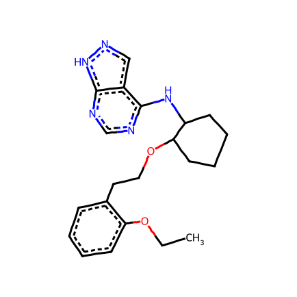 CCOc1ccccc1CCOC1CCCCC1Nc1ncnc2[nH]ncc12